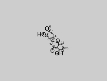 COc1ccc(C2CC(=O)c3c(O)cc(C)cc3O2)cc1O